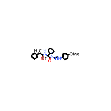 CC[C@@](NC(=O)[C@@H](C)c1ccccc1)(C(=O)NCCNc1ccc(OC)cc1)C1CCCCC1